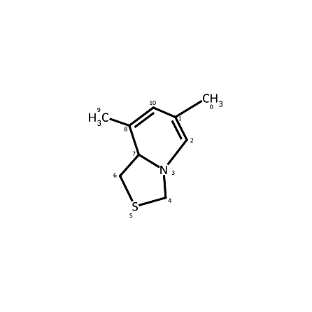 CC1=CN2CSCC2C(C)=C1